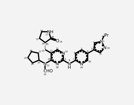 CC(C)n1cc(-c2ccc(Nc3ncc(C[C@@H]4CCNC4=O)c(N(C=O)C4CCCC4)n3)nc2)cn1